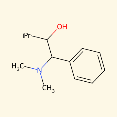 CC(C)C(O)C(c1ccccc1)N(C)C